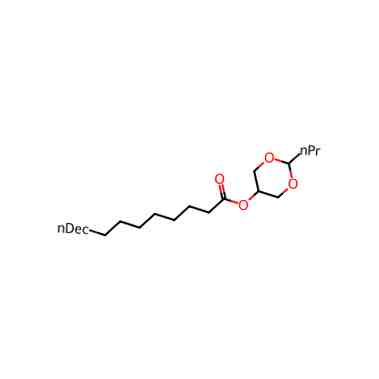 CCCCCCCCCCCCCCCCCC(=O)OC1COC(CCC)OC1